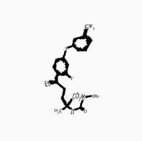 CCC(CCC(C)(NC(=O)OC(C)(C)C)C(=O)O)c1ccc(Sc2cccc(C(F)(F)F)c2)cc1F